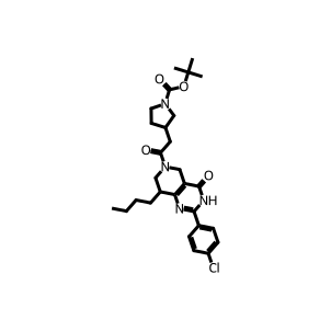 CCCCC1CN(C(=O)CC2CCN(C(=O)OC(C)(C)C)C2)Cc2c1nc(-c1ccc(Cl)cc1)[nH]c2=O